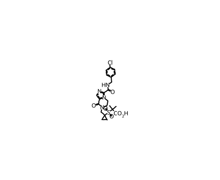 CC(C)(C(=O)O)S(=O)(=O)C1(CN2CCn3c(cnc3C(=O)NCc3ccc(Cl)cc3)C2=O)CC1